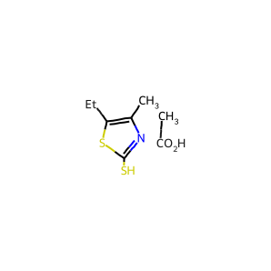 CC(=O)O.CCc1sc(S)nc1C